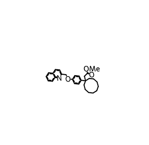 COC(=O)CC1(c2ccc(OCc3ccc4ccccc4n3)cc2)CCCCCCCCC1